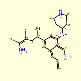 C=C/C=c1/cc(C(CC)C/C(C)=C(\N)F)cc(NC2CCNCC2)/c1=C/N